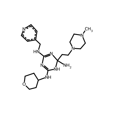 CN1CCN(CCC2(N)N=C(NCc3ccncc3)N=C(NC3CCOCC3)N2)CC1